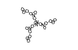 c1ccc2c(c1)oc1cc(-c3ccc4c(c3)c3ccccc3n4-c3ccc(-c4cc(-c5ccc(-n6c7ccccc7c7cc(-c8ccc9c(c8)oc8ccccc89)ccc76)cc5)nc(-c5ccc(-n6c7ccccc7c7cc(-c8ccc9c(c8)oc8ccccc89)ccc76)cc5)n4)cc3)ccc12